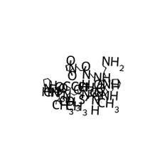 CC[C@H](C)[C@H](NC(=O)[C@H]1CCCCN1C)C(=O)N(COC)[C@H](C[C@@H](OC)c1nc(C(=O)N[C@@H](C)C(=O)N[C@@H](Cc2ccccc2)C(=O)N[C@@H](CCCCN)C(=O)NCCNC(=O)CCN2C(=O)C=CC2=O)cs1)C(C)C